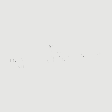 Cl.Cl.Cl.N=C(N)NCCCCCCC(=O)NCC(=O)NCCCCNCCCN